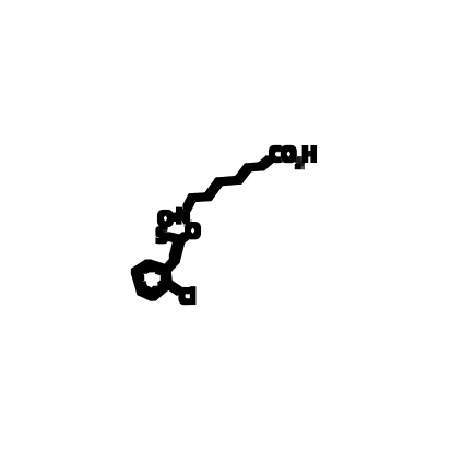 O=C(O)CCCCCCN1OS/C(=C\c2ccccc2Cl)O1